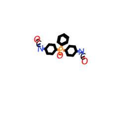 O=C=NC1CCC(P(=O)(c2ccccc2)C2CCC(N=C=O)CC2)CC1